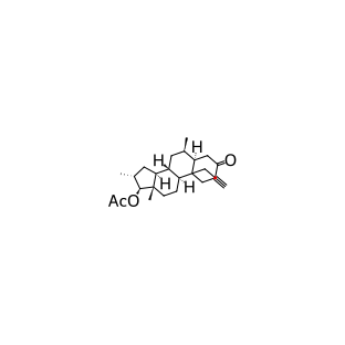 C#CCC12CCC(=O)C[C@@H]1[C@H](C)C[C@@H]1[C@@H]2CC[C@@]2(C)[C@H]1C[C@@H](C)[C@@H]2OC(C)=O